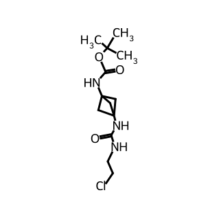 CC(C)(C)OC(=O)NC12CC(NC(=O)NCCCl)(C1)C2